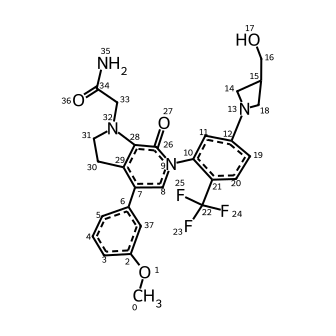 COc1cccc(-c2cn(-c3cc(N4CC(CO)C4)ccc3C(F)(F)F)c(=O)c3c2CCN3CC(N)=O)c1